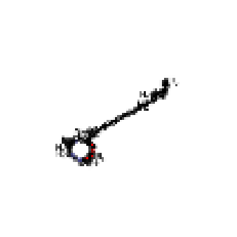 CO[C@H]1C[C@@H]2CC[C@@H](C)[C@@](O)(O2)C(=O)C(=O)N2CCCC[C@H]2CO[C@H]([C@H](N)CC2CC[C@@H](OC(=O)NCCOCCOCCOCCOCCOCCOCCOCCOCCC(=O)NCCSc3ccc(C(=O)N4CCOc5ccc(-c6ccc(N)nc6)cc5C4)c(C)c3)[C@H](OC)C2)CC[C@H](C)/C=C(\C)[C@@H](O)[C@@H](O)C(=O)[C@H](C)C[C@H](C)/C=C/C=C/C=C/1C